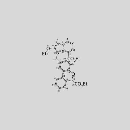 CCOC(=O)c1cccc2nc(OCC)n(Cc3ccc(OC(C(=O)OCC)c4ccccc4)cc3)c12